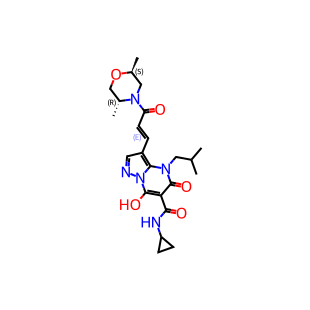 CC(C)Cn1c(=O)c(C(=O)NC2CC2)c(O)n2ncc(/C=C/C(=O)N3C[C@H](C)OC[C@H]3C)c12